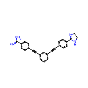 N=C(N)c1ccc(C#Cc2cccc(C#Cc3ccc(C4=NCCN4)cc3)c2)cc1